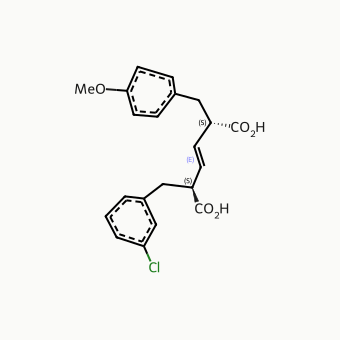 COc1ccc(C[C@@H](/C=C/[C@H](Cc2cccc(Cl)c2)C(=O)O)C(=O)O)cc1